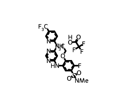 CNS(=O)(=O)c1cc(Nc2cc(Nc3ccc(C(F)(F)F)cn3)ncn2)c(OCC(F)(F)F)cc1F.O=C(O)C(F)(F)F